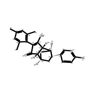 [C-]#[N+]c1ccc([C@@H]2C[C@@H]3O[C@H]2[C@H]2C(O)=C(c4c(C)cc(C)cc4C)C(=O)[C@H]23)cn1